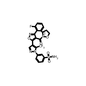 NS(=O)(=O)c1cccc(-n2ncc(-c3onc(-c4c(F)cccc4Cl)c3C(=O)N3CCCO3)c2C(F)(F)F)c1